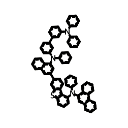 c1ccc(N(c2ccccc2)c2cccc(-c3cccc(N(c4ccccc4)c4cc(-c5ccc6c(c5)sc5cccc(N(c7ccccc7)c7cc8ccccc8c8ccccc78)c56)cc5ccccc45)c3)c2)cc1